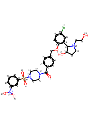 O=C(c1ccc(COc2ccc(Br)cc2C2C(O)CCN2CCO)cc1)N1CCN(S(=O)(=O)c2cccc([N+](=O)[O-])c2)CC1